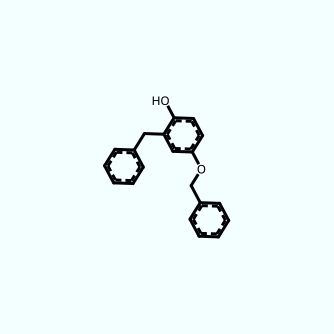 Oc1ccc(OCc2ccccc2)cc1Cc1ccccc1